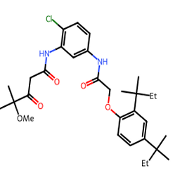 CCC(C)(C)c1ccc(OCC(=O)Nc2ccc(Cl)c(NC(=O)CC(=O)C(C)(C)OC)c2)c(C(C)(C)CC)c1